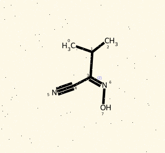 CC(C)/C(C#N)=N/O